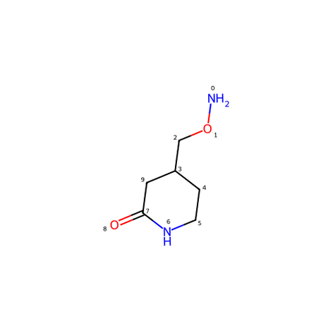 NOCC1CCNC(=O)C1